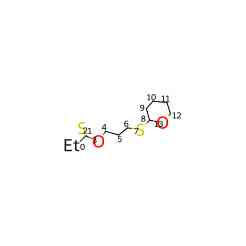 CCC(=S)OCCCSC1CCCCO1